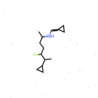 CC(CCC(F)C(C)C1CC1)NC=C1CC1